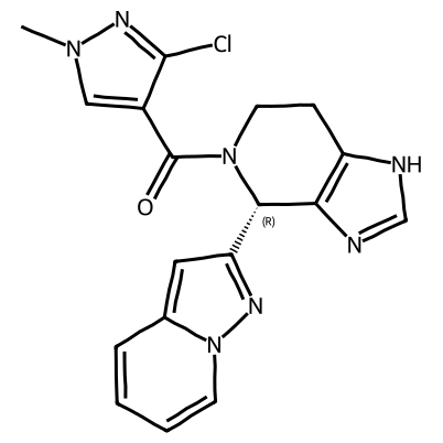 Cn1cc(C(=O)N2CCc3[nH]cnc3[C@@H]2c2cc3ccccn3n2)c(Cl)n1